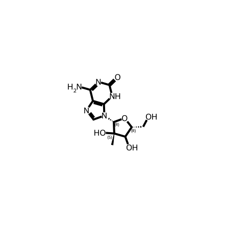 C[C@]1(O)C(O)[C@@H](CO)O[C@H]1n1cnc2c(N)nc(=O)[nH]c21